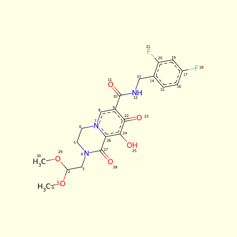 COC(CN1CCn2cc(C(=O)NCc3ccc(F)cc3F)c(=O)c(O)c2C1=O)OC